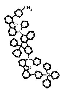 Cc1ccc(-c2cccc3c2oc2c(N(c4ccccc4)c4cc5c(c6ccccc46)-c4ccc(N(c6ccccc6)c6cccc7c6oc6c(-c8ccc([Si](c9ccccc9)(c9ccccc9)c9ccccc9)cc8)cccc67)cc4C5(c4ccccc4)c4ccccc4)cccc23)cc1